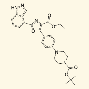 CCOC(=O)c1nc(-c2cccc3[nH]ncc23)oc1-c1ccc(N2CCN(C(=O)OC(C)(C)C)CC2)cc1